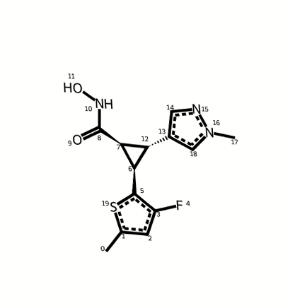 Cc1cc(F)c([C@H]2[C@@H](C(=O)NO)[C@@H]2c2cnn(C)c2)s1